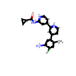 Cc1cc(F)c(N)cc1-c1ccnc(-c2ccnc(NC(=O)C3CC3)c2)c1